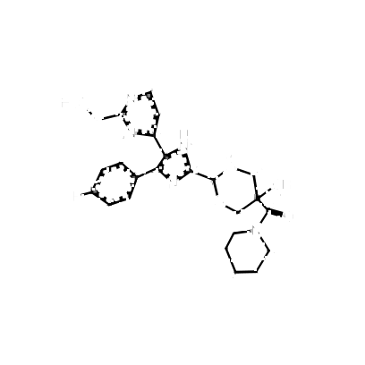 CSc1nccc(-c2[nH]c(C3OCC(C)(C(=O)N4CCCCC4)CO3)nc2-c2ccc(F)cc2)n1